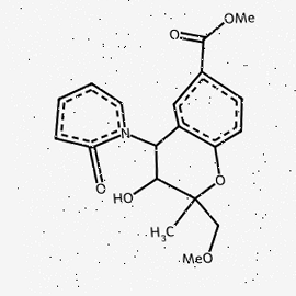 COCC1(C)Oc2ccc(C(=O)OC)cc2C(n2ccccc2=O)C1O